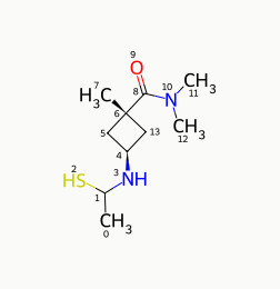 CC(S)N[C@H]1C[C@](C)(C(=O)N(C)C)C1